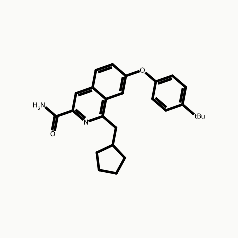 CC(C)(C)c1ccc(Oc2ccc3cc(C(N)=O)nc(CC4CCCC4)c3c2)cc1